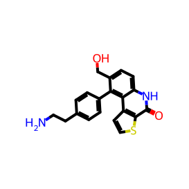 NCCc1ccc(-c2c(CO)ccc3[nH]c(=O)c4sccc4c23)cc1